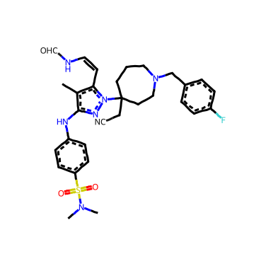 Cc1c(Nc2ccc(S(=O)(=O)N(C)C)cc2)nn(C2(CC#N)CCCN(Cc3ccc(F)cc3)CC2)c1/C=C\NC=O